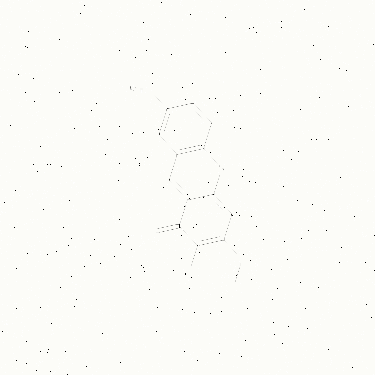 CCOc1cc2[nH]c3ccc(OC)cc3cc-2c(=O)c1O